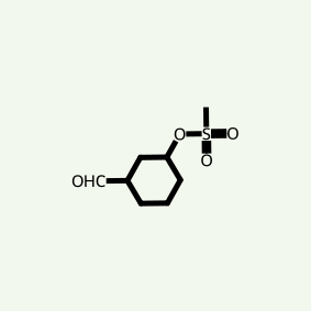 CS(=O)(=O)OC1CCCC(C=O)C1